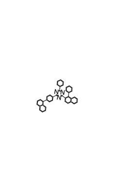 c1ccc(-c2nc(-c3ccc(-c4cccc5ccccc45)cc3)nc(-c3ccc4ccccc4c3-c3ccccc3)n2)cc1